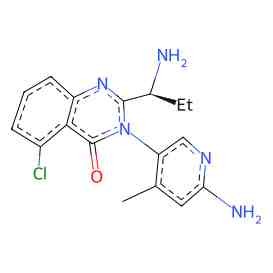 CC[C@H](N)c1nc2cccc(Cl)c2c(=O)n1-c1cnc(N)cc1C